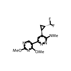 CNc1nnc(-c2cnc(OC)nc2OC)cc1[C@H]1C[C@@H]1C(F)F